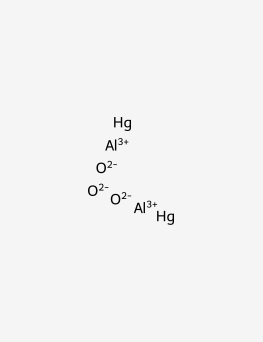 [Al+3].[Al+3].[Hg].[Hg].[O-2].[O-2].[O-2]